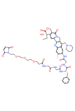 CC[C@@]1(O)C(=O)OCc2c1cc1n(c2=O)Cc2c-1nc1cc(F)c(NC(=O)CNC(=O)[C@H](Cc3ccccc3)NC(=O)CNC(=O)CNC(=O)CCOCCOCCOCCN3C(=O)C=CC3=O)cc1c2CN1CCCCC1